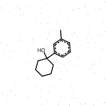 Cc1cccc(C2(O)CCCCC2)c1